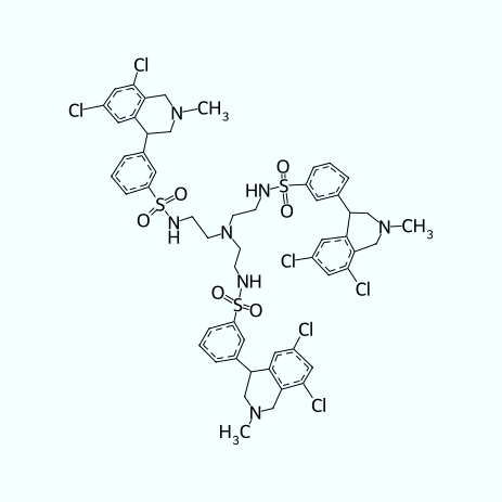 CN1Cc2c(Cl)cc(Cl)cc2C(c2cccc(S(=O)(=O)NCCN(CCNS(=O)(=O)c3cccc(C4CN(C)Cc5c(Cl)cc(Cl)cc54)c3)CCNS(=O)(=O)c3cccc(C4CN(C)Cc5c(Cl)cc(Cl)cc54)c3)c2)C1